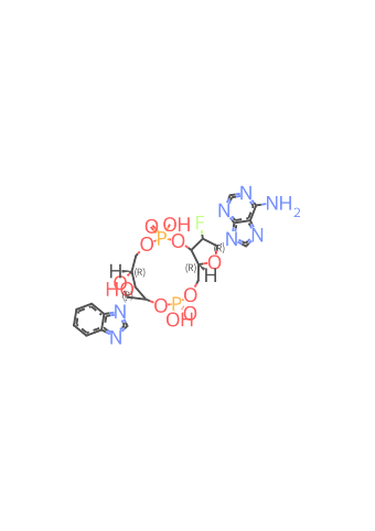 Nc1ncnc2c1ncn2[C@@H]1O[C@@H]2COP(=O)(O)OC3C(O)[C@@H](COP(=O)(O)OC2C1F)O[C@H]3n1cnc2ccccc21